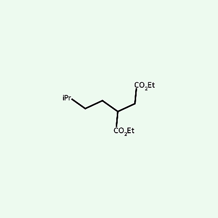 CCOC(=O)CC(CCC(C)C)C(=O)OCC